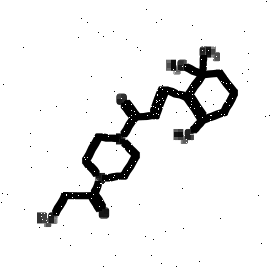 CCC(=O)N1CCN(C(=O)C=CC2=C(C)CCCC2(C)C)CC1